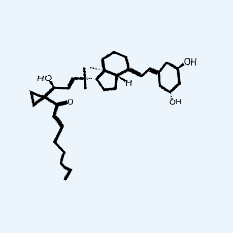 CCCCCCCC(=O)C1([C@@H](O)/C=C/C(C)(C)[C@H]2CC[C@H]3/C(=C/C=C4C[C@@H](O)C[C@H](O)C4)CCC[C@]23C)CC1